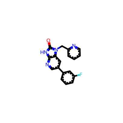 O=c1[nH]c2ncc(-c3cccc(F)c3)cc2n1Cc1ccccn1